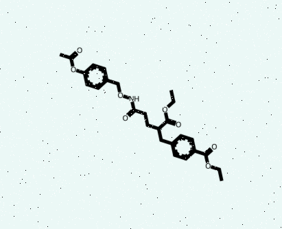 CCOC(=O)c1ccc(CC(CCC(=O)NOCc2ccc(OC(C)=O)cc2)C(=O)OCC)cc1